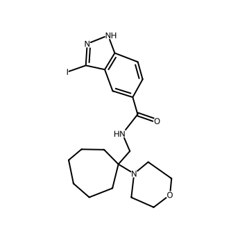 O=C(NCC1(N2CCOCC2)CCCCCC1)c1ccc2[nH]nc(I)c2c1